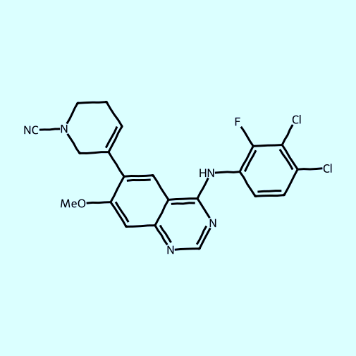 COc1cc2ncnc(Nc3ccc(Cl)c(Cl)c3F)c2cc1C1=CCCN(C#N)C1